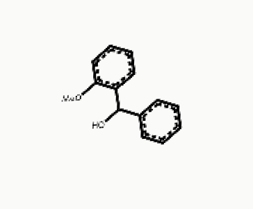 COc1ccccc1C(O)c1ccccc1